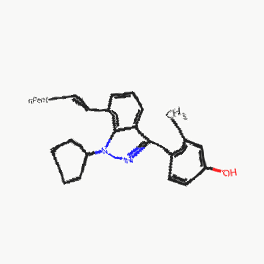 CCCCC/C=C/c1cccc2c(-c3ccc(O)cc3C)nn(C3CCCC3)c12